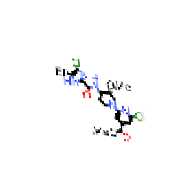 CCc1[nH]c(C(=O)N[C@@H]2CCN(c3cc(C(=O)OC)cc(Cl)n3)C[C@@H]2OC)nc1Cl